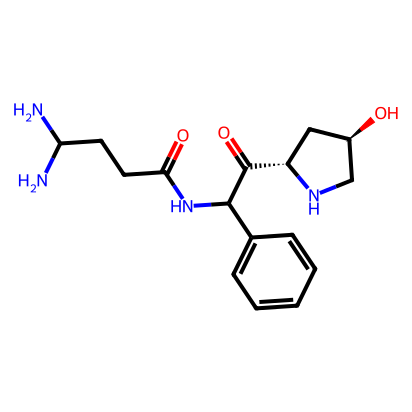 NC(N)CCC(=O)NC(C(=O)[C@@H]1C[C@@H](O)CN1)c1ccccc1